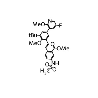 COC(=O)c1cc(NS(C)(=O)=O)ccc1/C=C/c1cc(-c2cc(F)cnc2OC)cc(C(C)(C)C)c1OC